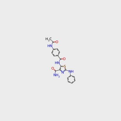 CC(=O)Nc1ccc(C(=O)Nc2sc(Nc3ccccc3)nc2C(N)=O)cc1